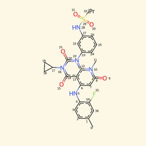 Cc1ccc(Nc2cc(=O)n(C)c3c2c(=O)n(C2CC2)c(=O)n3-c2cccc(NS(=O)(=O)C(C)C)c2)c(F)c1